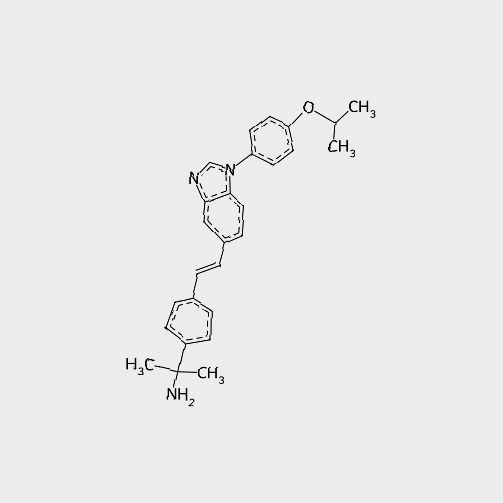 CC(C)Oc1ccc(-n2cnc3cc(C=Cc4ccc(C(C)(C)N)cc4)ccc32)cc1